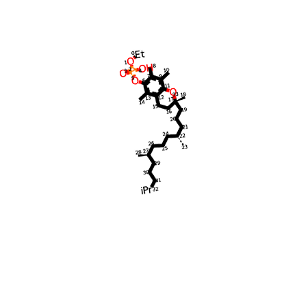 CCOP(=O)(O)Oc1c(C)c(C)c2c(c1C)CC[C@@](C)(CCC[C@H](C)CCC[C@H](C)CCCC(C)C)O2